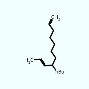 C=CCCCCCC(C=CC)CCCC